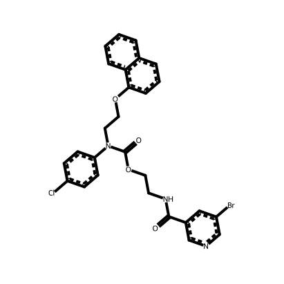 O=C(NCCOC(=O)N(CCOc1cccc2ccccc12)c1ccc(Cl)cc1)c1cncc(Br)c1